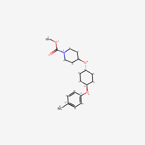 CC(C)(C)OC(=O)N1CCC(O[C@H]2CC[C@H](Oc3ccc(C#N)cc3)CC2)CC1